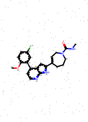 CNC(=O)N1CC=C(c2cc3c(-c4cc(F)ccc4OC)ccnc3[nH]2)CCC1